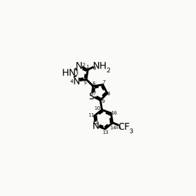 Nc1n[nH]nc1-c1ccc(-c2cncc(C(F)(F)F)c2)s1